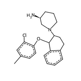 Cc1ccc(OC2c3ccccc3CCC2N2CCC[C@H](N)C2)c(Cl)c1